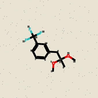 CO[Si](C)(Cc1cccc(C(F)(F)F)c1)OC